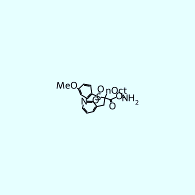 CCCCCCCCC(Cc1cccnc1)(C(=O)ON)S(=O)(=O)c1ccc(OC)cc1